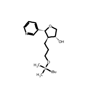 CC(C)(C)[Si](C)(C)OCCC[C@@H]1[C@@H](O)CO[C@H]1c1cccnc1